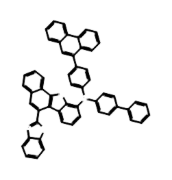 c1ccc(-c2ccc(N(c3ccc(-c4cc5ccccc5c5ccccc45)cc3)c3cccc4c3oc3c5ccccc5cc(-c5nc6ccccc6o5)c43)cc2)cc1